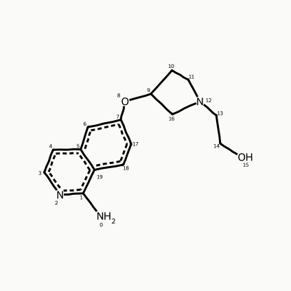 Nc1nccc2cc(OC3CCN(CCO)C3)ccc12